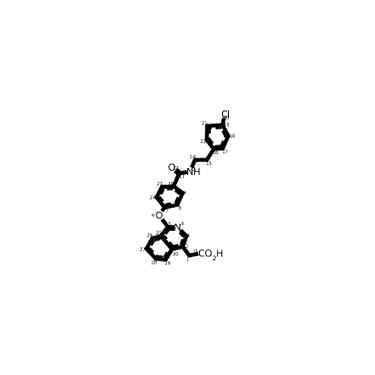 O=C(O)Cc1cnc(Oc2ccc(C(=O)NCCc3ccc(Cl)cc3)cc2)c2ccccc12